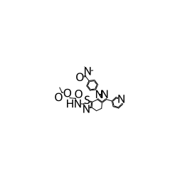 CC(=O)OCC(=O)Nc1nc2c(s1)-c1c(c(-c3cccnc3)nn1-c1ccc(C(=O)N(C)C)cc1)CC2